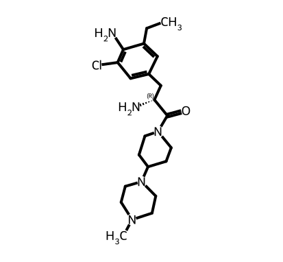 CCc1cc(C[C@@H](N)C(=O)N2CCC(N3CCN(C)CC3)CC2)cc(Cl)c1N